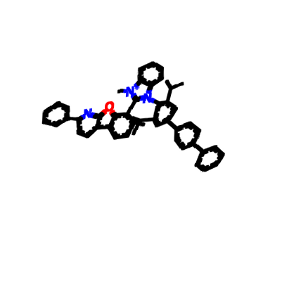 Cc1ccc2c(oc3nc(-c4ccccc4)ccc32)c1-c1n(-c2c(C(C)C)cc(-c3ccc(-c4ccccc4)cc3)cc2C(C)C)c2ccccc2[n+]1C